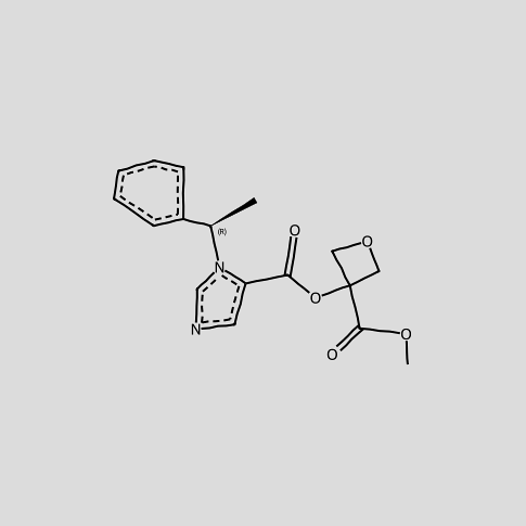 COC(=O)C1(OC(=O)c2cncn2[C@H](C)c2ccccc2)COC1